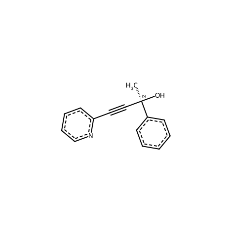 C[C@@](O)(C#Cc1ccccn1)c1ccccc1